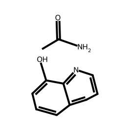 CC(N)=O.Oc1cccc2cccnc12